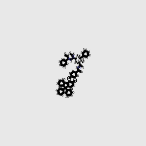 C=C/C(=C\C(=C/C)c1nc(/C(C)=C/C(=C)c2ccc3c(c2)Oc2ccc4c(c2O3)-c2ccccc2C4(c2ccccc2)c2ccccc2)nc(-c2ccccc2)n1)c1ccccc1